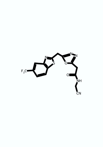 N#CCNC(=O)Cc1nnc(Cc2nc3cc(C(F)(F)F)ccc3s2)o1